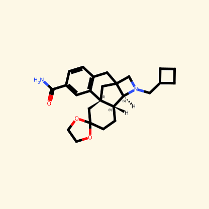 NC(=O)c1ccc2c(c1)[C@@]13CC4(CC[C@H]1[C@@H]1N(CC5CCC5)CC1(C2)C3)OCCO4